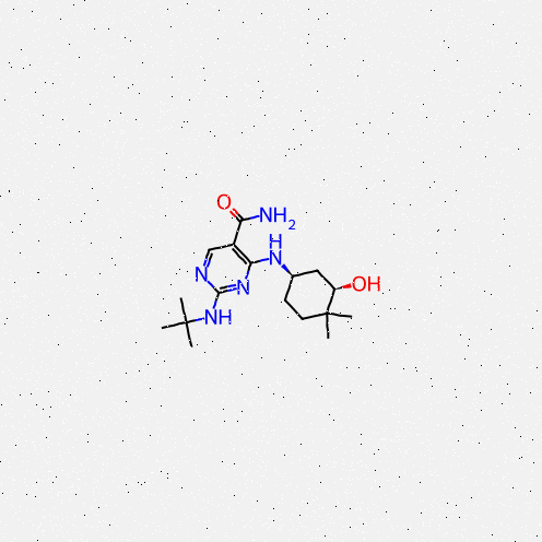 CC(C)(C)Nc1ncc(C(N)=O)c(N[C@@H]2CCC(C)(C)[C@H](O)C2)n1